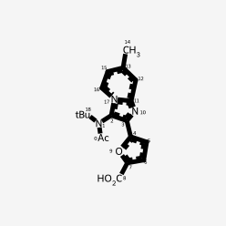 CC(=O)N(c1c(-c2ccc(C(=O)O)o2)nc2cc(C)ccn12)C(C)(C)C